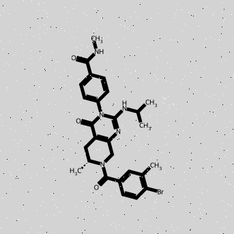 CNC(=O)c1ccc(-n2c(NC(C)C)nc3c(c2=O)C[C@@H](C)N(C(=O)c2ccc(Br)c(C)c2)C3)cc1